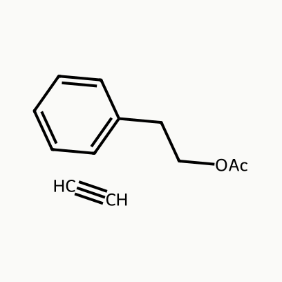 C#C.CC(=O)OCCc1ccccc1